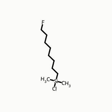 C[Si](C)(Cl)CCCCCCCCF